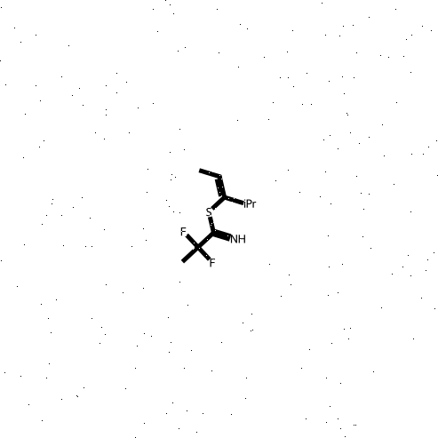 C/C=C(\SC(=N)C(C)(F)F)C(C)C